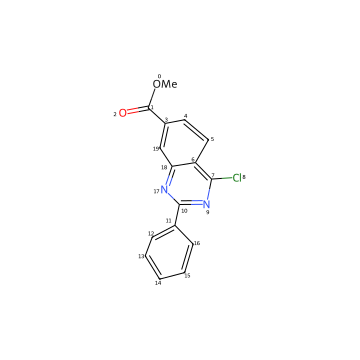 COC(=O)c1ccc2c(Cl)nc(-c3ccccc3)nc2c1